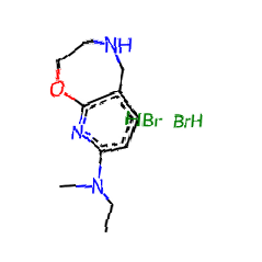 Br.Br.CCN(C)c1ccc2c(n1)OCCNC2